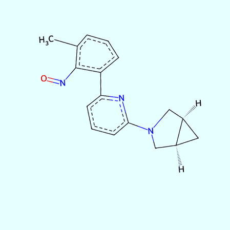 Cc1cccc(-c2cccc(N3C[C@H]4C[C@H]4C3)n2)c1N=O